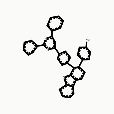 N#Cc1ccc(-c2ccc3c(oc4ccccc43)c2-c2ccc(-c3cc(-c4ccccc4)nc(-c4ccccc4)n3)cc2)cc1